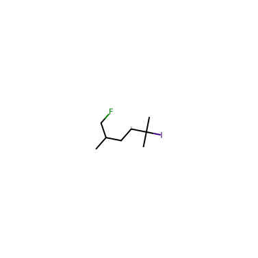 CC(CF)C[CH]C(C)(C)I